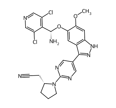 COc1cc2[nH]nc(-c3cnc(N4CCC[C@@H]4CC#N)nc3)c2cc1O[C@H](N)c1c(Cl)cncc1Cl